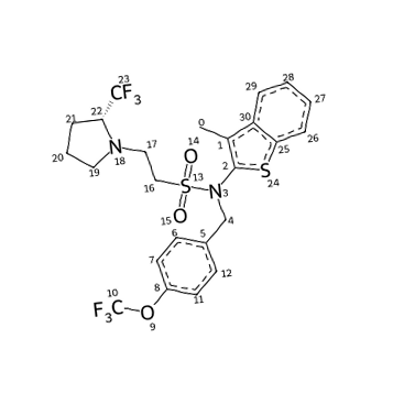 Cc1c(N(Cc2ccc(OC(F)(F)F)cc2)S(=O)(=O)CCN2CCC[C@@H]2C(F)(F)F)sc2ccccc12